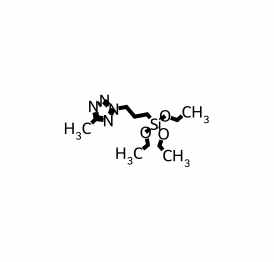 CCO[Si](CCCn1nnc(C)n1)(OCC)OCC